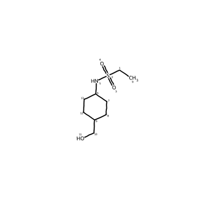 CCS(=O)(=O)NC1CCC(CO)CC1